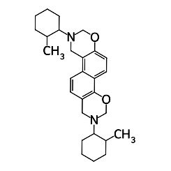 CC1CCCCC1N1COc2c(ccc3c4c(ccc23)OCN(C2CCCCC2C)C4)C1